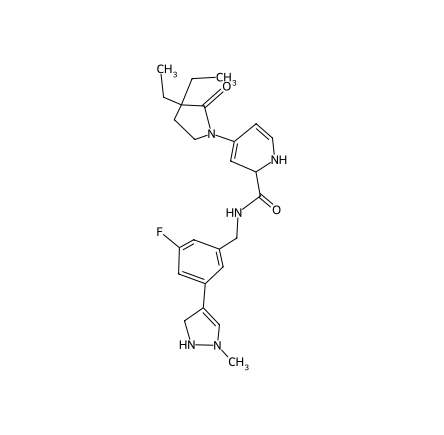 CCC1(CC)CCN(C2=CC(C(=O)NCc3cc(F)cc(C4=CN(C)NC4)c3)NC=C2)C1=O